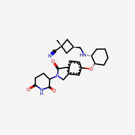 C[C@]1(C#N)C[C@H](CN[C@@H]2CCCC[C@@H]2Oc2ccc3c(c2)CN(C2CCC(=O)NC2=O)C3=O)C1